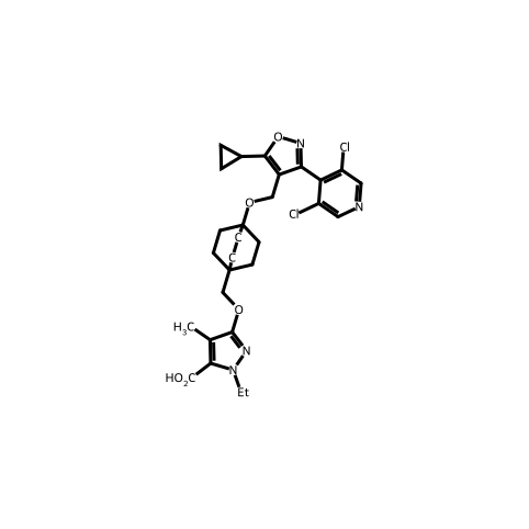 CCn1nc(OCC23CCC(OCc4c(-c5c(Cl)cncc5Cl)noc4C4CC4)(CC2)CC3)c(C)c1C(=O)O